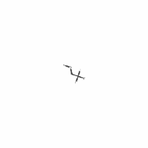 [N]OCC(F)(F)F